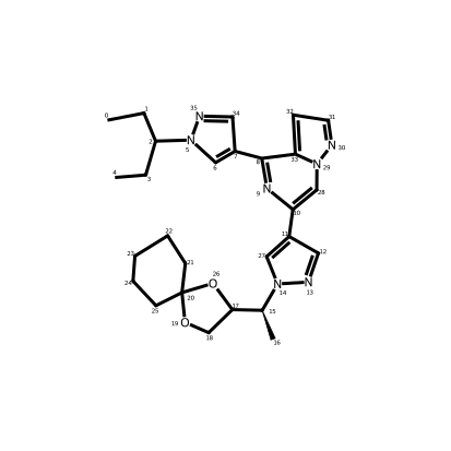 CCC(CC)n1cc(-c2nc(-c3cnn([C@@H](C)C4COC5(CCCCC5)O4)c3)cn3nccc23)cn1